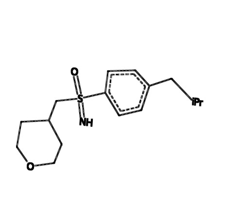 CC(C)Cc1ccc(S(=N)(=O)CC2CCOCC2)cc1